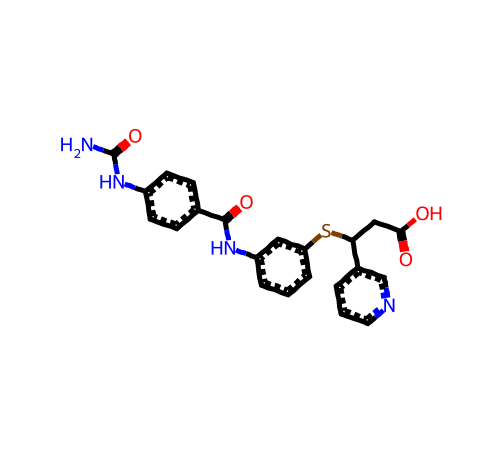 NC(=O)Nc1ccc(C(=O)Nc2cccc(SC(CC(=O)O)c3cccnc3)c2)cc1